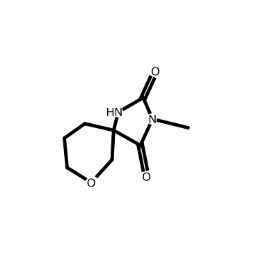 CN1C(=O)NC2(CCCOC2)C1=O